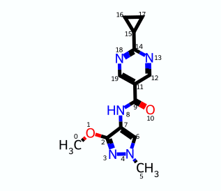 COc1nn(C)cc1NC(=O)c1cnc(C2CC2)nc1